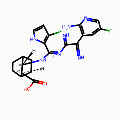 N=C(/N=C(/N[C@H]1C2CCC(CC2)[C@@H]1C(=O)O)c1[nH]ccc1F)C(=N)c1cc(F)cnc1N